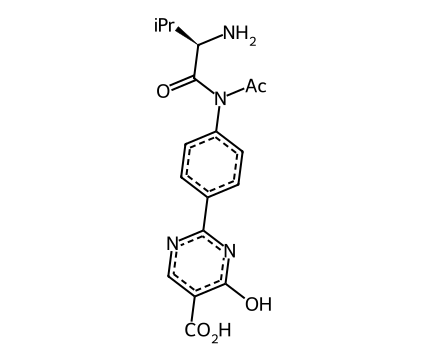 CC(=O)N(C(=O)[C@H](N)C(C)C)c1ccc(-c2ncc(C(=O)O)c(O)n2)cc1